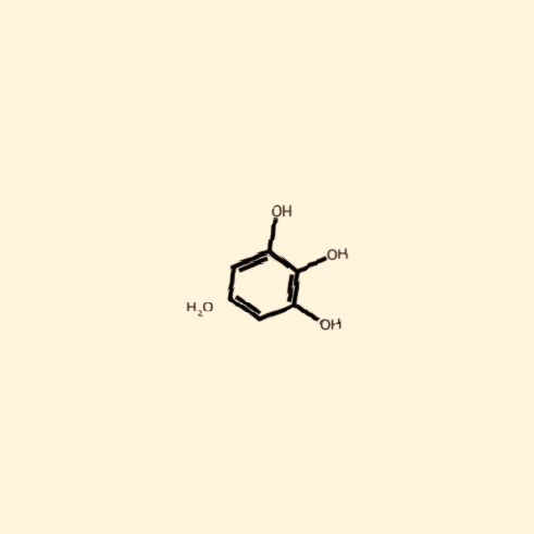 O.Oc1cccc(O)c1O